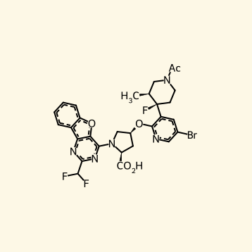 CC(=O)N1CC[C@](F)(c2cc(Br)cnc2O[C@H]2C[C@@H](C(=O)O)N(c3nc(C(F)F)nc4c3oc3ccccc34)C2)[C@@H](C)C1